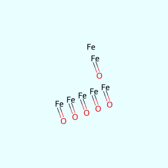 [Fe].[O]=[Fe].[O]=[Fe].[O]=[Fe].[O]=[Fe].[O]=[Fe].[O]=[Fe]